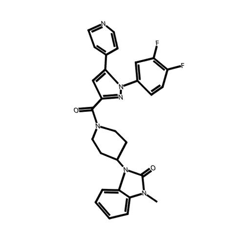 Cn1c(=O)n(C2CCN(C(=O)c3cc(-c4ccncc4)n(-c4ccc(F)c(F)c4)n3)CC2)c2ccccc21